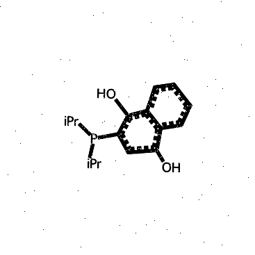 CC(C)P(c1cc(O)c2ccccc2c1O)C(C)C